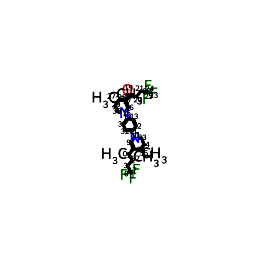 CC(CCC(F)(F)F)C1=CN(c2ccc(N3C=C(C(=O)CCC(F)(F)F)C(C)(C)CC3)cc2)CCC1(C)C